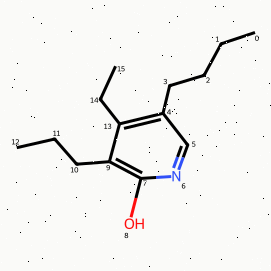 CCCCc1cnc(O)c(CCC)c1CC